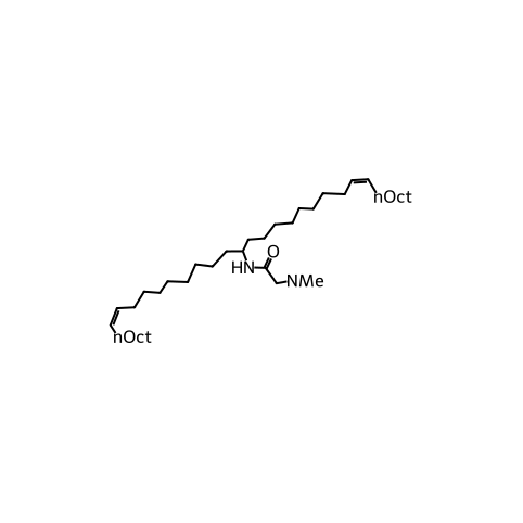 CCCCCCCC/C=C\CCCCCCCCC(CCCCCCCC/C=C\CCCCCCCC)NC(=O)CNC